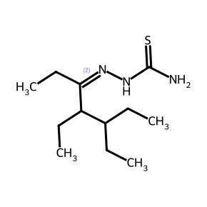 CC/C(=N/NC(N)=S)C(CC)C(CC)CC